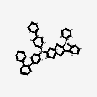 C1=CCC(c2ccccc2)C(c2ccc(N(c3ccc(-c4ccccc4)cc3)c3ccc4cc5c6ccccc6n(-c6ccccc6)c5cc4c3)cc2)=C1